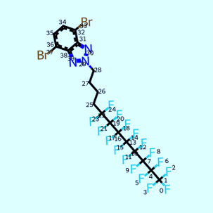 FC(F)(F)C(F)(F)C(F)(F)C(F)(F)C(F)(F)C(F)(F)C(F)(F)C(F)(F)CCCCn1nc2c(Br)ccc(Br)c2n1